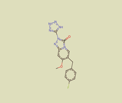 COc1cc2nn(-c3nnn[nH]3)c(=O)n2cc1Cc1ccc(F)cc1